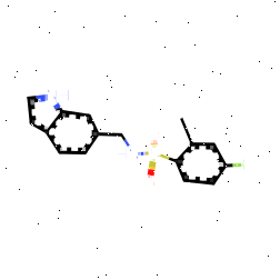 Cc1cc(F)ccc1S(=O)(=O)NCc1ccc2cc[nH]c2c1